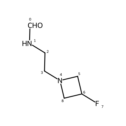 O=CNCCN1CC(F)C1